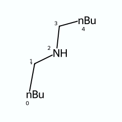 CCCC[CH]NCCCCC